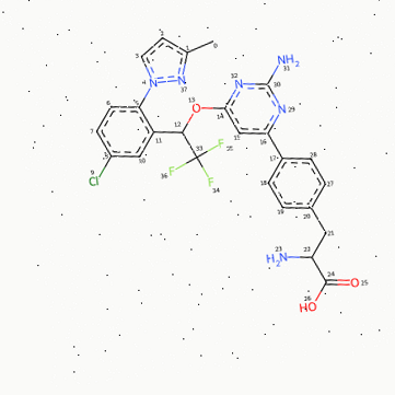 Cc1ccn(-c2ccc(Cl)cc2C(Oc2cc(-c3ccc(CC(N)C(=O)O)cc3)nc(N)n2)C(F)(F)F)n1